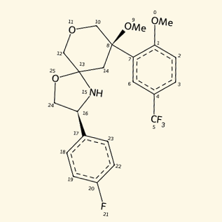 COc1ccc(C(F)(F)F)cc1[C@@]1(OC)COCC2(C1)N[C@@H](c1ccc(F)cc1)CO2